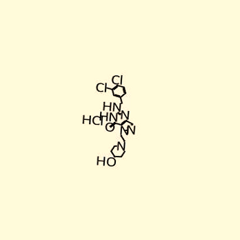 Cl.O=c1[nH]c(NCc2ccc(Cl)c(Cl)c2)nc2cnn(CCN3CCC(O)CC3)c12